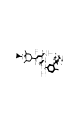 Cc1ccc(Nc2nc(N)c(F)c(C3CC(C)N(C4CC4)C(C)C3)n2)cc1-n1cnnn1